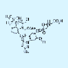 CC(C)Oc1cc(-n2nc(C(C)(C)C)oc2=O)c(Cl)cc1Cl.CCc1cccc(CC)c1N(COC)C(=O)CCl.C[S+](C)C.O=C(O)CNCP(=O)([O-])O